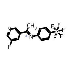 C/C(=N\c1ccc(S(F)(F)(F)(F)F)cc1)c1cncc(F)c1